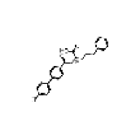 O=C(C[C@H](CCCc1ccccc1)C(=O)O)c1ccc(-c2ccc(Cl)cc2)cc1